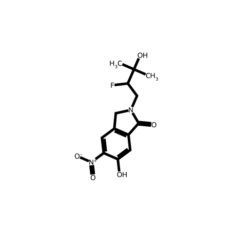 CC(C)(O)C(F)CN1Cc2cc([N+](=O)[O-])c(O)cc2C1=O